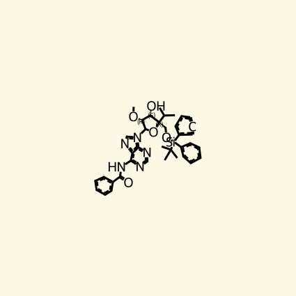 CO[C@H]1C(n2cnc3c(NC(=O)c4ccccc4)ncnc32)O[C@@](CO[Si](c2ccccc2)(c2ccccc2)C(C)(C)C)(C(C)C)[C@H]1O